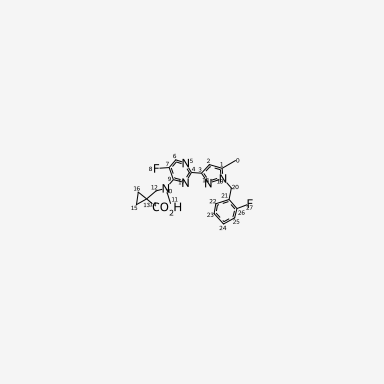 Cc1cc(-c2ncc(F)c(N(C)CC3(C(=O)O)CC3)n2)nn1Cc1ccccc1F